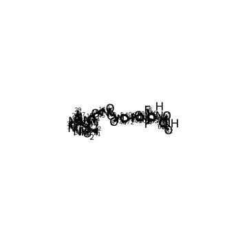 CC(C)(C1CCN(C(=O)COC(=O)N2CC(Oc3cnc(-c4c(-c5nn(C(C)(C)C)c6ncnc(N)c56)noc4C4CC4)nc3)C2)CC1)N1CCN(c2c(F)cc(N[C@@H]3CCC(=O)NC3=O)cc2F)CC1